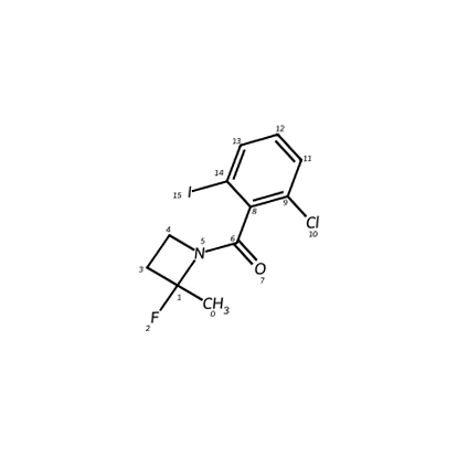 CC1(F)CCN1C(=O)c1c(Cl)cccc1I